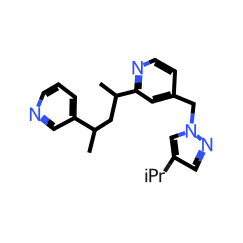 CC(C)c1cnn(Cc2ccnc(C(C)CC(C)c3cccnc3)c2)c1